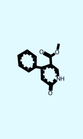 COC(=O)c1c[nH]c(=O)cc1-c1ccccc1